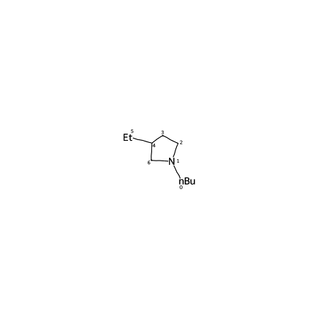 CCCCN1CCC(CC)C1